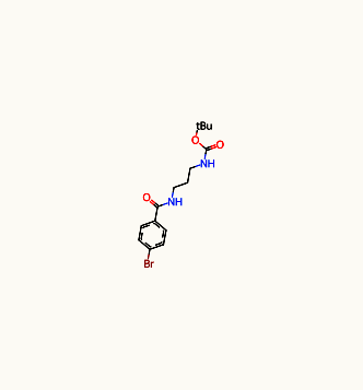 CC(C)(C)OC(=O)NCCCNC(=O)c1ccc(Br)cc1